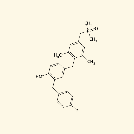 Cc1cc(CP(C)(C)=O)cc(C)c1Cc1ccc(O)c(Cc2ccc(F)cc2)c1